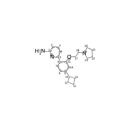 Nc1cccc(-c2ccc(C3CCC3)cc2OCCN2CCCC2)n1